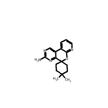 CC1(C)CCC2(CC1)Oc1ncccc1-c1cnc(N)nc12